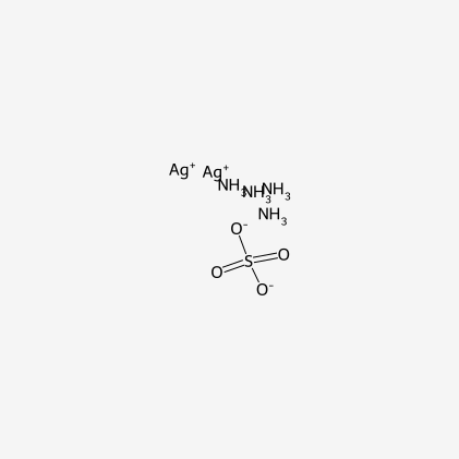 N.N.N.N.O=S(=O)([O-])[O-].[Ag+].[Ag+]